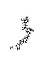 CCNC(=O)OC1CCN(CCCN2CCN(C(=O)/C=C/c3ccc(F)c(Cl)c3)CCC2=O)CC1